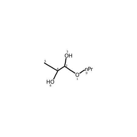 [CH2]CCOC(O)C(C)O